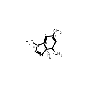 CC1C=C(N)C=C2[C@@H]1N=CN2C